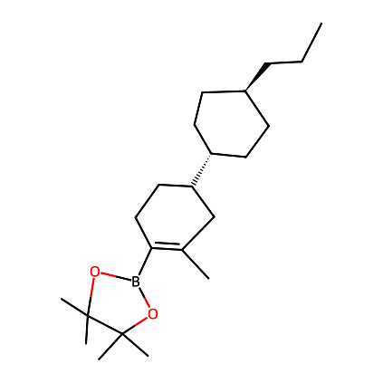 CCC[C@H]1CC[C@H](C2CCC(B3OC(C)(C)C(C)(C)O3)=C(C)C2)CC1